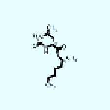 CCCCC[C@@H](C)OC(=O)[C@H](CC(C)C)NC=O